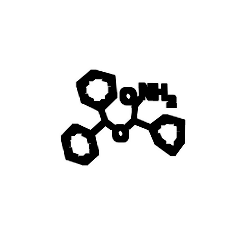 NC(=O)C(OC(c1ccccc1)c1ccccc1)c1ccccc1